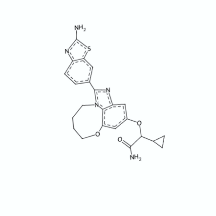 NC(=O)C(Oc1cc2c3c(c1)nc(-c1ccc4nc(N)sc4c1)n3CCCCO2)C1CC1